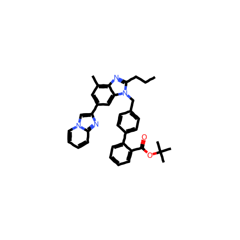 CCCc1nc2c(C)cc(-c3cn4ccccc4n3)cc2n1Cc1ccc(-c2ccccc2C(=O)OC(C)(C)C)cc1